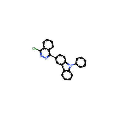 Clc1nnc(-c2ccc3c(c2)c2ccccc2n3-c2ccccc2)c2ccccc12